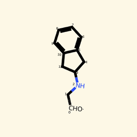 O=[C]CNC1Cc2ccccc2C1